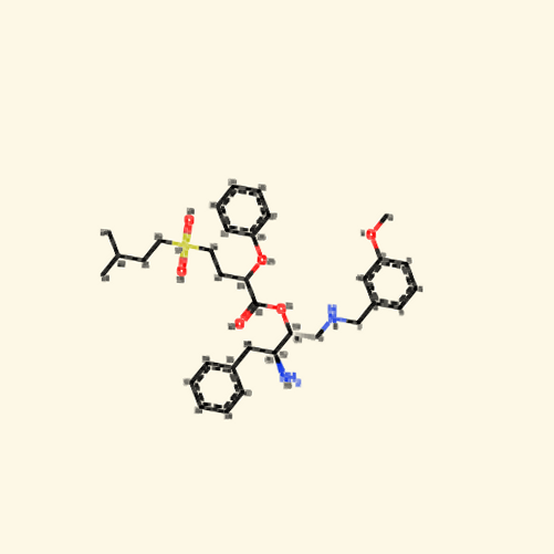 COc1cccc(CNC[C@@H](OC(=O)C(CCS(=O)(=O)CCC(C)C)Oc2ccccc2)[C@@H](N)Cc2ccccc2)c1